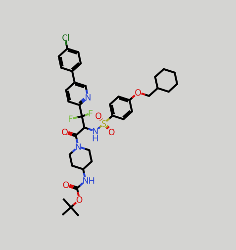 CC(C)(C)OC(=O)NC1CCN(C(=O)C(NS(=O)(=O)c2ccc(OCC3CCCCC3)cc2)C(F)(F)c2ccc(-c3ccc(Cl)cc3)cn2)CC1